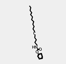 CCCCCCCCCCCCCCCCCCNC(=O)Oc1ccccc1